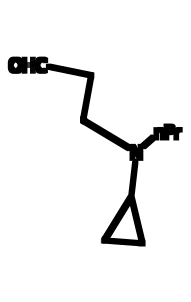 CCCN(CCC=O)C1CC1